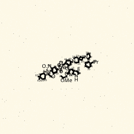 COC(C)COc1nc2[nH]cc(F)c2cc1Oc1cc(N2CCC3(CC2)CC(N2CCC[C@@H]2c2ccccc2C(C)C)C3)ccc1C(=O)NS(=O)(=O)c1cc2c(c([N+](=O)[O-])c1)N[C@@H](C1CCC(C)(C)CC1)CO2